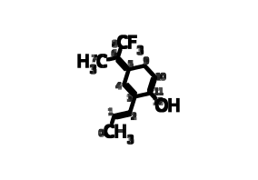 CC=CC1=CC(=C(C)C(F)(F)F)CC=C1O